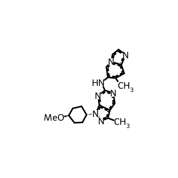 CO[C@H]1CC[C@H](n2nc(C)c3cnc(Nc4cn5ccnc5cc4C)nc32)CC1